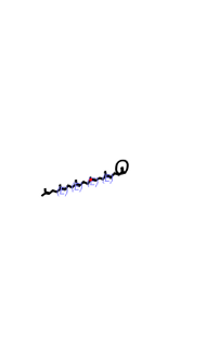 CC(=O)CC/C=C(\C)CC/C=C(\C)CC/C=C(\C)CC/C=C(\C)CCC=C(C)C